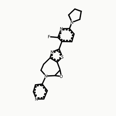 Fc1nc(N2CCCC2)ccc1-c1nc2c(s1)C1OC1N(c1ccncc1)CC2